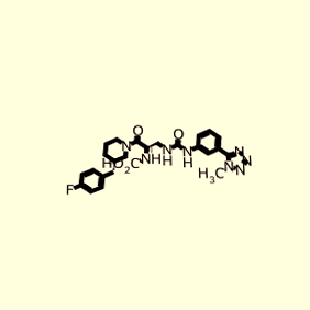 Cn1nnnc1-c1cccc(NC(=O)NC[C@@H](NC(=O)O)C(=O)N2CCC[C@@H](Cc3ccc(F)cc3)C2)c1